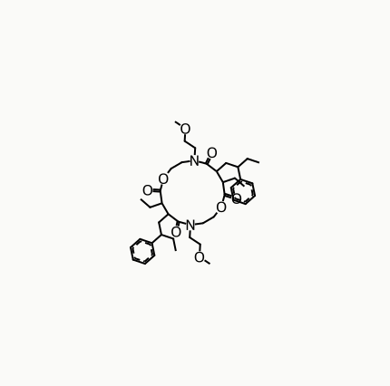 CCC(CC1C(=O)N(CCOC)CCOC(=O)C(CC)C(CC(CC)c2ccccc2)C(=O)N(CCOC)CCOC(=O)C1CC)c1ccccc1